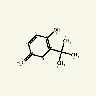 C=C1C=CC(O)=C(C(C)(C)C)C1